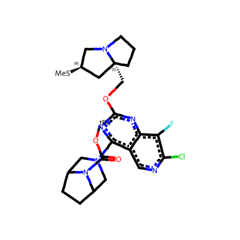 CS[C@H]1CN2CCC[C@@]2(COc2nc(N3CC4CCC(C3)N4C(=O)OC(C)(C)C)c3cnc(Cl)c(F)c3n2)C1